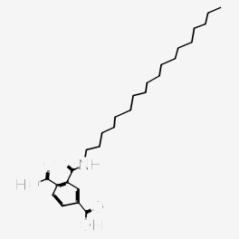 CCCCCCCCCCCCCCCCCCNC(=O)c1cc(C(=O)O)ccc1C(=O)O